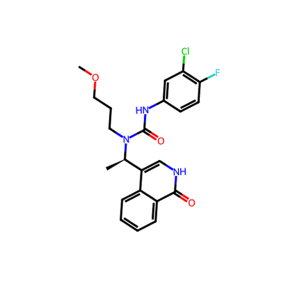 COCCCN(C(=O)Nc1ccc(F)c(Cl)c1)[C@H](C)c1c[nH]c(=O)c2ccccc12